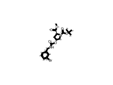 COC(=O)[C@@H]1C[C@@H](OC(=O)NCc2cccc(Br)c2)CN1C(=O)OC(C)(C)C